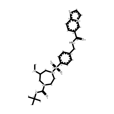 COC1CN(C(=O)OC(C)(C)C)CCN(S(=O)(=O)c2ccc(CNC(=O)c3ccc4nccn4c3)cc2)C1